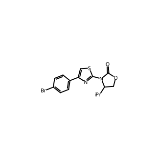 CC(C)C1COC(=O)N1c1nc(-c2ccc(Br)cc2)cs1